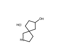 Cl.OC1CCC2(CCNC2)C1